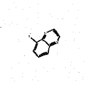 Fc1cc[c]c2nccnc12